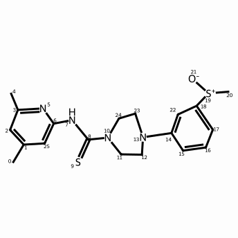 Cc1cc(C)nc(NC(=S)N2CCN(c3cccc([S+](C)[O-])c3)CC2)c1